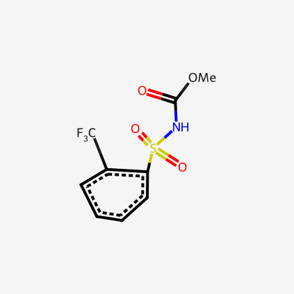 COC(=O)NS(=O)(=O)c1ccccc1C(F)(F)F